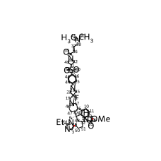 CCc1nccn1C[C@@](c1cccc(F)c1)(C1CCN(CC2(F)CN(c3ccc(S(=O)(=O)C4CN(C(=O)/C=C/CN(C)C)C4)cc3)C2)CC1)[C@H]1CCC[C@@H]1NC(=O)OC